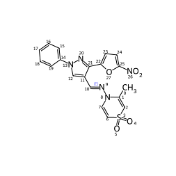 CC1=CS(=O)(=O)C=CN1/N=C/c1cn(-c2ccccc2)nc1-c1ccc([N+](=O)[O-])o1